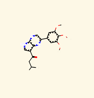 COc1cc(-c2cnc3[nH]cc(C(=O)CC(C)C)c3n2)cc(OC)c1OC